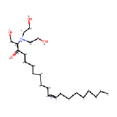 CCCCCCCC/C=C\CCCCCCCC(=O)C(CO)N(CCO)CCO